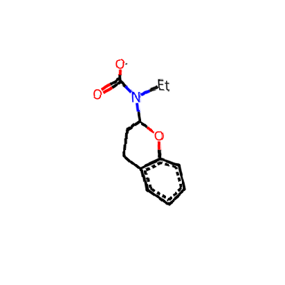 CCN(C([O])=O)C1CCc2ccccc2O1